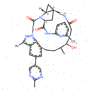 CC(=O)c1nn2c3c(cc(-c4cnc(C)nc4)cc13)CCC(C)C(O)CCC(=O)NC[C@@]13C[C@@H](C(=O)Nc4cccc(C(F)(F)F)n4)N(C(=O)C2)[C@@H]1C3